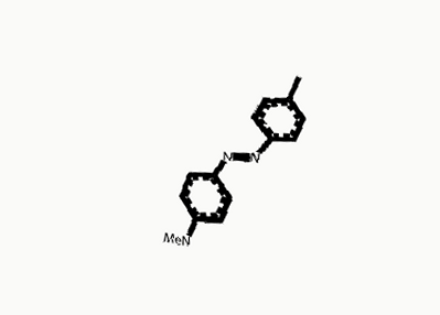 CNc1ccc(/N=N/c2ccc(C)cc2)cc1